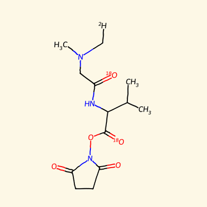 [2H]CN(C)CC(=[18O])NC(C(=[18O])ON1C(=O)CCC1=O)C(C)C